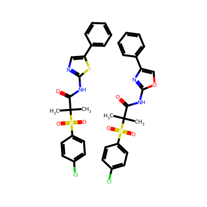 CC(C)(C(=O)Nc1nc(-c2ccccc2)co1)S(=O)(=O)c1ccc(Cl)cc1.CC(C)(C(=O)Nc1ncc(-c2ccccc2)s1)S(=O)(=O)c1ccc(Cl)cc1